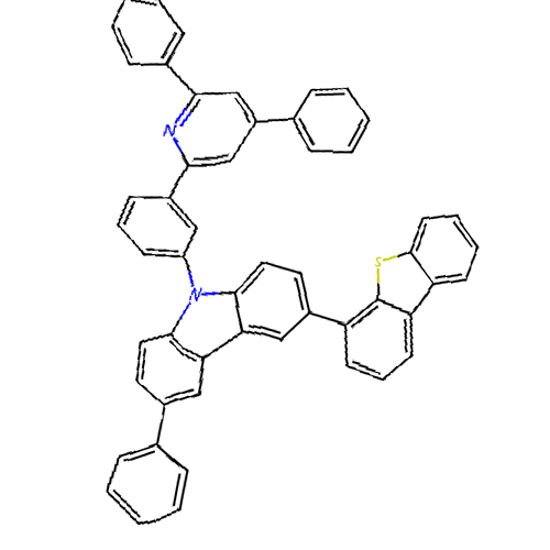 c1ccc(-c2cc(-c3ccccc3)nc(-c3cccc(-n4c5ccc(-c6ccccc6)cc5c5cc(-c6cccc7c6sc6ccccc67)ccc54)c3)c2)cc1